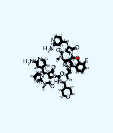 CC[C@@H](NC(=O)N1C(=O)[C@H](Cc2ccnc(N)c2)[C@H]1C(=O)N(C)c1ccn(CCC[C@@H](NC(=O)N2C(=O)[C@H](Cc3ccnc(N)c3)[C@H]2C(=O)N(C)c2nccn2C)C2CCOCC2)n1)c1cccc(F)c1C